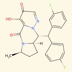 C[C@@H]1CC[C@@H]2[C@@H](C(c3ccc(F)cc3)c3cccc(F)c3)n3ncc(=O)c(O)c3C(=O)N12